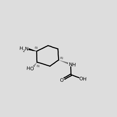 N[C@H]1CC[C@H](NC(=O)O)C[C@@H]1O